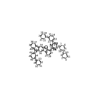 c1ccc(-c2cccc(-c3nc(-c4cccc(-c5ccccc5)c4)nc(-c4cccc5c4oc4cc6c7ccccc7n(-c7cccc(-c8ccccc8)c7)c6cc45)n3)c2)cc1